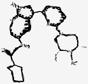 CC(=O)N1[C@H](C)CN(c2cccc(-c3c[nH]c4ncc(NC(=O)C5CCCC5)cc34)n2)C[C@@H]1C